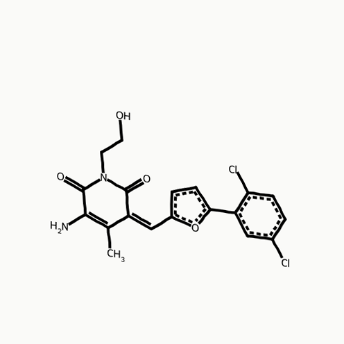 CC1=C(N)C(=O)N(CCO)C(=O)/C1=C\c1ccc(-c2cc(Cl)ccc2Cl)o1